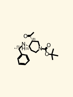 CC(=O)[C@@H]1CN(C(=O)OC(C)(C)C)CC[C@@H]1N[C@@H](C)c1ccccc1